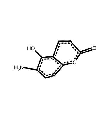 Nc1ccc2oc(=O)ccc2c1O